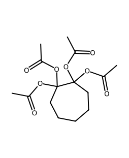 CC(=O)OC1(OC(C)=O)CCCCCC1(OC(C)=O)OC(C)=O